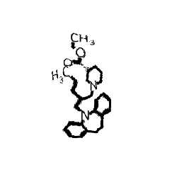 CCCC(CN1CCC[C@@H](C(=O)OCC)C1)CN1c2ccccc2CCc2ccccc21